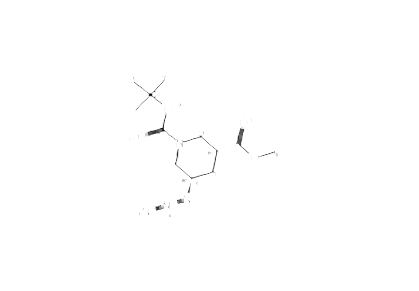 COC(=O)[C@@H]1C[C@@H](N=[N+]=[N-])CN(C(=O)OC(C)(C)C)C1